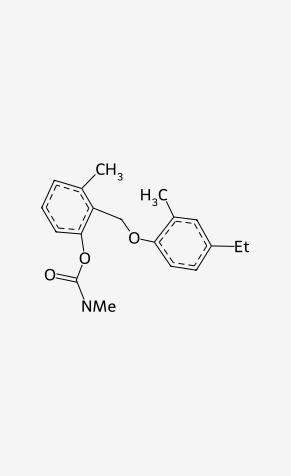 CCc1ccc(OCc2c(C)cccc2OC(=O)NC)c(C)c1